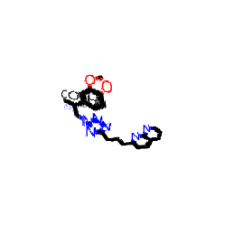 O=C(O)/C=C(/Cn1nnc(CCCc2ccc3cccnc3n2)n1)c1ccc2c(c1)OCO2